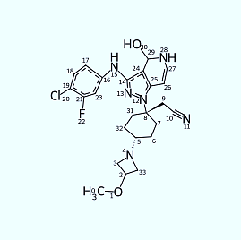 COC1CN([C@H]2CC[C@@](CC#N)(n3nc(Nc4ccc(Cl)c(F)c4)c4c3C=CNC4O)CC2)C1